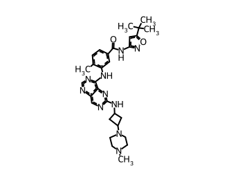 Cc1ccc(C(=O)Nc2cc(C(C)(C)C)on2)cc1Nc1ncnc2cnc(NC3CC(N4CCN(C)CC4)C3)nc12